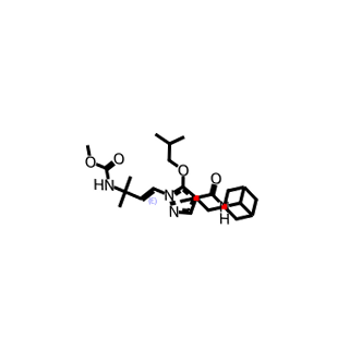 CCCC1CC2CC(C1)C2NC(=O)c1cnn(/C=C/C(C)(C)NC(=O)OC)c1OCC(C)C